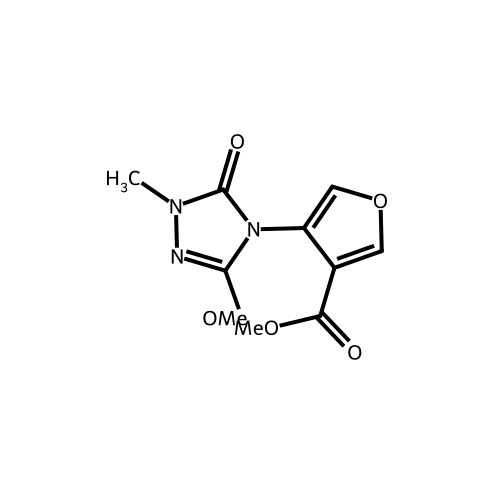 COC(=O)c1cocc1-n1c(OC)nn(C)c1=O